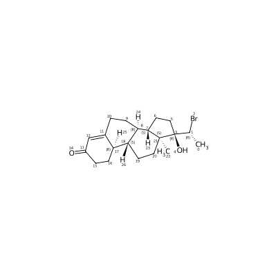 C[C@@H](Br)[C@@]1(O)CC[C@H]2[C@@H]3CCC4=CC(=O)CC[C@@H]4[C@H]3CC[C@@]21C